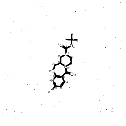 CC(C)(C)OC(=O)N1CCN2C(=O)c3ccc(F)nc3OCC2C1